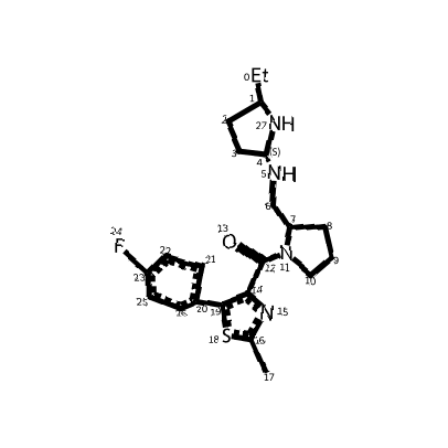 CCC1CC[C@@H](NCC2CCCN2C(=O)c2nc(C)sc2-c2ccc(F)cc2)N1